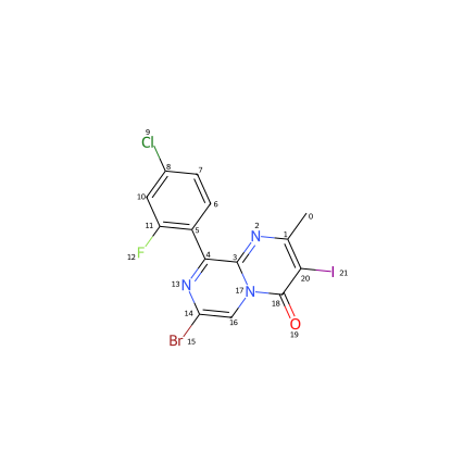 Cc1nc2c(-c3ccc(Cl)cc3F)nc(Br)cn2c(=O)c1I